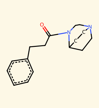 O=C(CCc1ccccc1)N1CCN2CCC1CC2